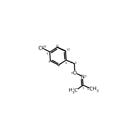 CC(C)=NOCc1ccc(Cl)cc1